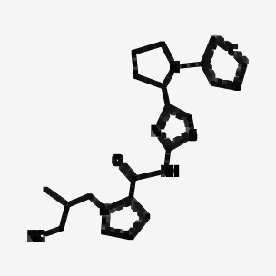 CC(CC#N)Cn1cccc1C(=O)Nc1nc(C2CCCN2c2ccccc2)cs1